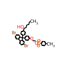 CCCCCC(O)c1ccc(C2(c3ccc(OCCOS(=O)(=O)c4ccc(C)cc4)cc3)c3cc(Br)ccc3-c3ccc(Br)cc32)cc1